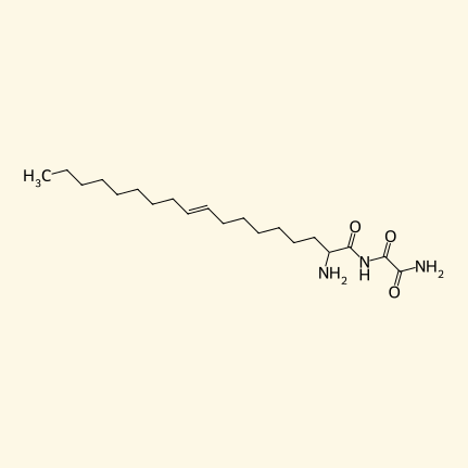 CCCCCCCCC=CCCCCCCC(N)C(=O)NC(=O)C(N)=O